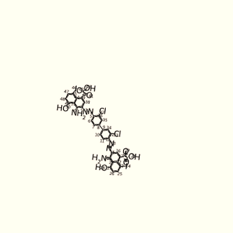 Nc1c(N=Nc2ccc(-c3ccc(N=Nc4cc(S(=O)(=O)O)c5c(I)ccc(O)c5c4N)c(Cl)c3)cc2Cl)cc(S(=O)(=O)O)c2c(I)ccc(O)c12